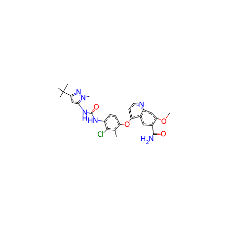 COc1cc2nccc(Oc3ccc(NC(=O)Nc4cc(C(C)(C)C)nn4C)c(Cl)c3C)c2cc1C(N)=O